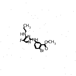 CCCNc1nc(Nc2ccc(Br)c(C(=O)OC)c2)ncc1F